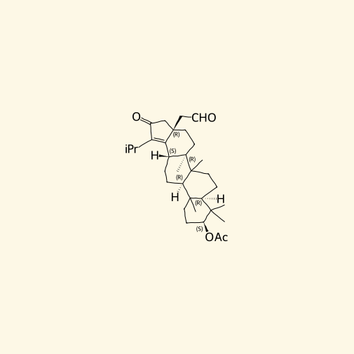 CC(=O)O[C@H]1CCC2(C)[C@H]3CC[C@@H]4C5=C(C(C)C)C(=O)C[C@]5(CC=O)CC[C@@]4(C)C3(C)CC[C@H]2C1(C)C